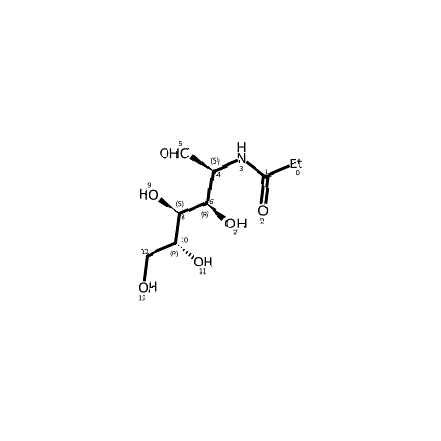 CCC(=O)N[C@H](C=O)[C@@H](O)[C@H](O)[C@H](O)CO